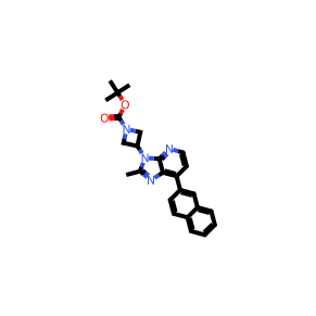 Cc1nc2c(-c3ccc4ccccc4c3)ccnc2n1C1CN(C(=O)OC(C)(C)C)C1